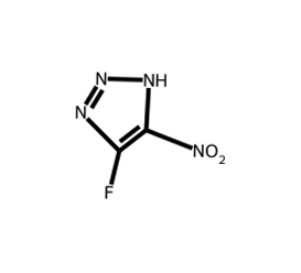 O=[N+]([O-])c1[nH]nnc1F